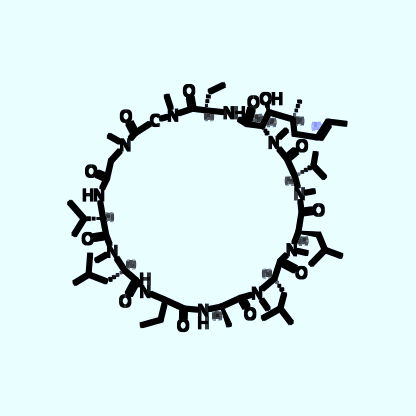 C/C=C/C[C@@H](C)[C@@H](O)[C@H]1C(=O)N[C@@H](CC)C(=O)N(C)CC(=O)N(C)CC(=O)N[C@@H](C(C)C)C(=O)N(C)[C@@H](CC(C)C)C(=O)NC(CC)C(=O)N[C@H](C)C(=O)N(C)[C@@H](CC(C)C)C(=O)N(C)[C@H](CC(C)C)C(=O)N(C)[C@@H](C(C)C)C(=O)N1C